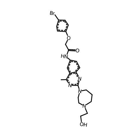 Cc1nc(N2CCCN(CCO)CC2)nc2ccc(NC(=O)COc3ccc(Br)cc3)cc12